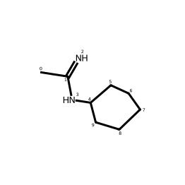 CC(=N)NC1CCCCC1